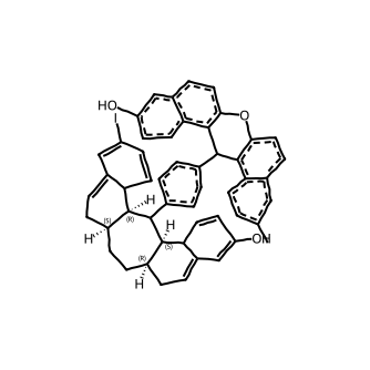 Cc1ccc2c3c(ccc2c1)Oc1ccc2cc(O)ccc2c1C3c1ccc(C2[C@H]3C4C=CC(O)=CC4=CC[C@H]3CC[C@H]3CC=C4C=C(I)C=CC4[C@@H]23)cc1